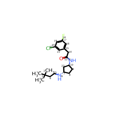 CC(C)(C)CCN[C@H]1CC[C@H](NC(=O)Cc2cc(F)cc(Cl)c2)C1